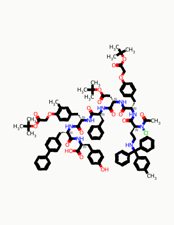 CC(=O)N(Cl)[C@@H](CCNC(c1ccccc1)(c1ccccc1)c1ccc(C)cc1)C(=O)N[C@@H](Cc1ccc(OCC(=O)OC(C)(C)C)cc1)C(=O)N[C@@H](CC(=O)OC(C)(C)C)C(=O)N[C@@H](Cc1ccccc1)C(=O)N[C@@H](Cc1ccc(OCC(=O)OC(C)(C)C)c(C)c1)C(=O)N[C@@H](Cc1ccc(-c2ccccc2)cc1)C(=O)N[C@@H](Cc1ccc(O)cc1)C(=O)O